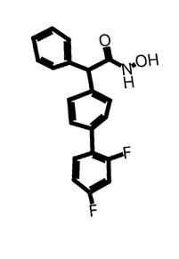 O=C(NO)C(c1ccccc1)c1ccc(-c2ccc(F)cc2F)cc1